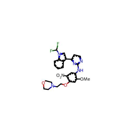 COc1cc(OCCN2CCOCC2)c([N+](=O)[O-])cc1Nc1nccc(-c2cn(C(F)F)c3ccccc23)n1